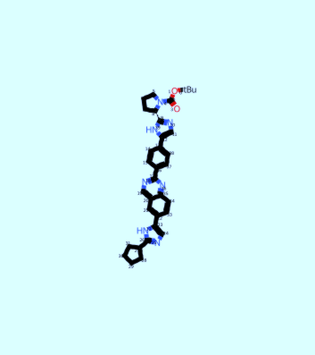 CC(C)(C)OC(=O)N1CCC[C@H]1c1ncc(-c2ccc(-c3ncc4cc(-c5cnc(C6CCCC6)[nH]5)ccc4n3)cc2)[nH]1